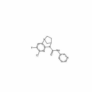 O=C(Nc1cccnc1)N1c2nc(Cl)c(F)cc2N2CCC1C2